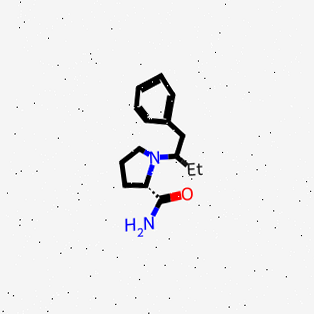 CCC(Cc1ccccc1)N1CCC[C@H]1C(N)=O